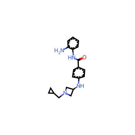 Nc1ccccc1NC(=O)c1ccc(NC2CN(CC3CC3)C2)cc1